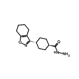 NNC(=O)[C@H]1CC[C@H](c2noc3c2CCCC3)CC1